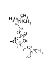 CC(=O)OC[C@H](CO)OP(=O)([O-])OCC[N+](C)(C)C